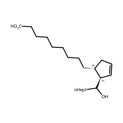 CCCCCCCC(O)[C@@H]1C=CC[C@H]1CCCCCCCCC(=O)O